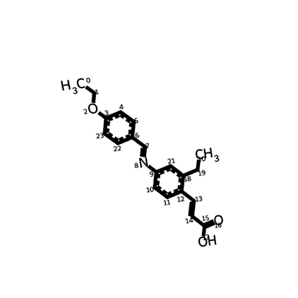 CCOc1ccc(C=Nc2ccc(C=CC(=O)O)c(CC)c2)cc1